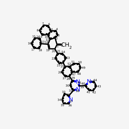 C=C1c2ccc3ccccc3c2C(c2ccccc2)=CC1c1ccc(-c2ccc(-c3cc(-c4ccccn4)nc(-c4ccccn4)n3)c3ccccc23)cc1